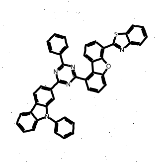 c1ccc(-c2nc(-c3ccc4c5ccccc5n(-c5ccccc5)c4c3)nc(-c3cccc4oc5c(-c6nc7ccccc7s6)cccc5c34)n2)cc1